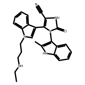 CCNCCCn1cc(-c2c(C#N)[nH]c(=O)n2-c2c(C)[nH]c3ccccc23)c2ccccc21